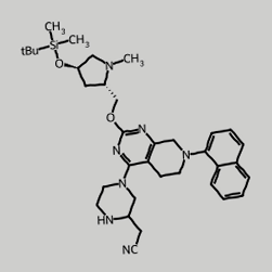 CN1C[C@H](O[Si](C)(C)C(C)(C)C)C[C@H]1COc1nc2c(c(N3CCNC(CC#N)C3)n1)CCN(c1cccc3ccccc13)C2